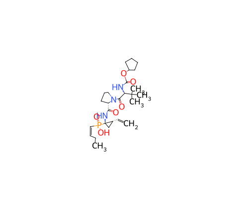 C=C[C@@H]1C[C@]1(NC(=O)[C@@H]1CCCN1C(=O)[C@@H](NC(=O)OC1CCCC1)C(C)(C)C)P(=O)(O)/C=C\CC